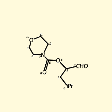 CC(C)CC(C=O)OC(=O)N1CCOCC1